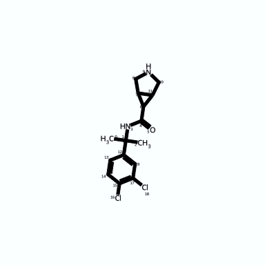 CC(C)(NC(=O)C1C2CNCC21)c1ccc(Cl)c(Cl)c1